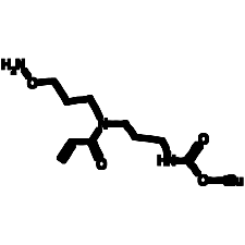 C=CC(=O)N(CCCNC(=O)OC(C)(C)C)CCCON